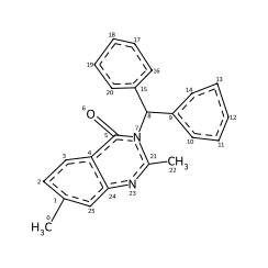 Cc1ccc2c(=O)n(C(c3ccccc3)c3ccccc3)c(C)nc2c1